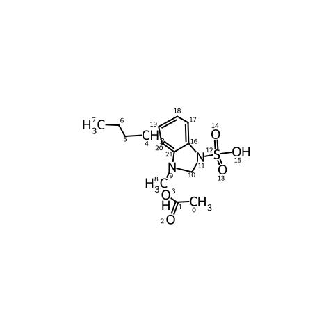 CC(=O)O.CCCC.CN1CN(S(=O)(=O)O)c2ccccc21